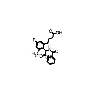 Cc1cc(F)cc(CCCC(=O)O)c1C(NC(=O)c1ccccc1)C(=O)O